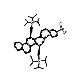 CC(C)[Si](C#Cc1cc2c3ccc([N+](=O)[O-])cc3ccc2c2c(C#C[Si](C(C)C)(C(C)C)C(C)C)cc3c4ccccc4ccc3c12)(C(C)C)C(C)C